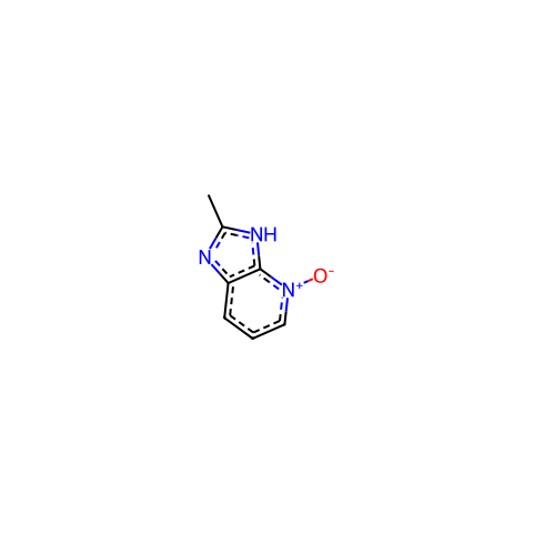 Cc1nc2ccc[n+]([O-])c2[nH]1